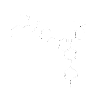 C=N/C(=C\C=C/C)S(=N)(=O)c1ccc(C(=O)Nc2cc(-c3ccc(F)cc3)ccc2NC(=O)OC(C)(C)C)cn1